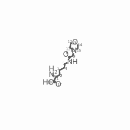 N[C@H](CCCCNC(=O)CN1CCOCC1)C(=O)O